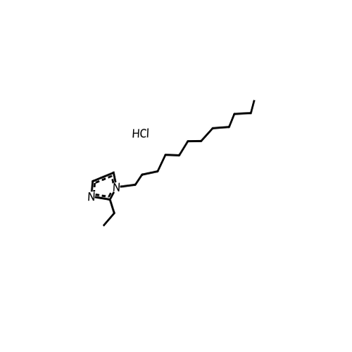 CCCCCCCCCCCCn1ccnc1CC.Cl